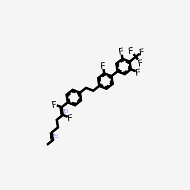 C/C=C/CC/C(F)=C(\F)c1ccc(CCc2ccc(-c3cc(F)c(C(F)(F)F)c(F)c3)c(F)c2)cc1